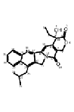 CC[C@@]1(O)C(=O)OCc2c1cc1n(c2=O)Cc2c-1nc1ccccc1c2CC(C)C